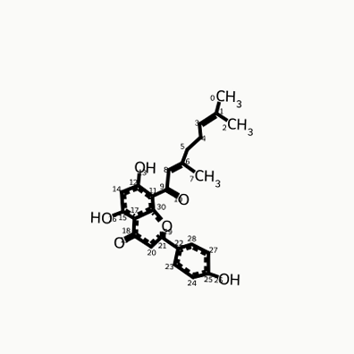 CC(C)=CCC/C(C)=C/C(=O)c1c(O)cc(O)c2c(=O)cc(-c3ccc(O)cc3)oc12